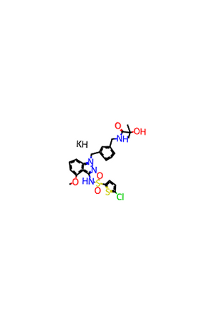 COc1cccc2c1c(NS(=O)(=O)c1ccc(Cl)s1)nn2Cc1cccc(CNC(=O)C(C)(C)O)c1.[KH]